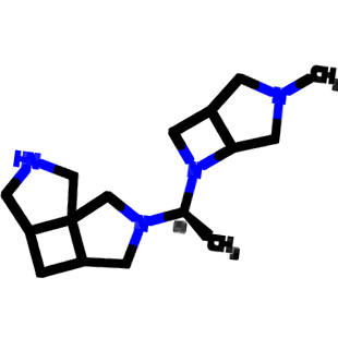 C[C@@H](N1CC2CC3CNCC32C1)N1CC2CN(C)CC21